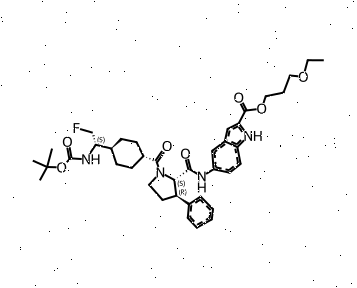 CCOCCCOC(=O)c1cc2cc(NC(=O)[C@@H]3[C@@H](c4ccccc4)CCN3C(=O)[C@H]3CC[C@H]([C@@H](CF)NC(=O)OC(C)(C)C)CC3)ccc2[nH]1